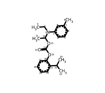 CCN(c1cccc(C)c1)C(C)OC(=O)Oc1ccccc1C(C)C